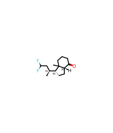 C[C@@H](CC(F)F)[C@H]1CC[C@H]2C(=O)CCCC12C